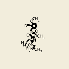 CCn1c(N(C)CC(C)N)nc2c1c(=O)n(Cc1cccc(OC)c1C#N)c(=O)n2C